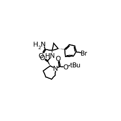 CC(C)(C)OC(=O)N1CCCC[C@H]1C(=O)N[C@]1(C(N)=O)C[C@@H]1c1ccc(Br)cc1